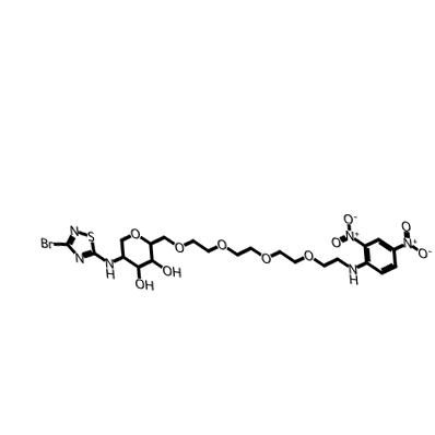 O=[N+]([O-])c1ccc(NCCOCCOCCOCCOCC2OCC(Nc3nc(Br)ns3)C(O)C2O)c([N+](=O)[O-])c1